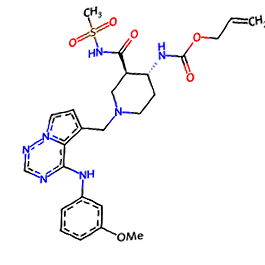 C=CCOC(=O)N[C@@H]1CCN(Cc2ccn3ncnc(Nc4cccc(OC)c4)c23)C[C@H]1C(=O)NS(C)(=O)=O